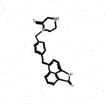 O=C1Nc2ccc(Cc3ccc(CN4CCNCC4=O)cc3)c3cccc1c23